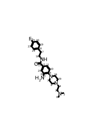 CN(C)CCN1CCN(c2ccc(C(=O)NCCc3ccc(F)cc3)cc2N)CC1